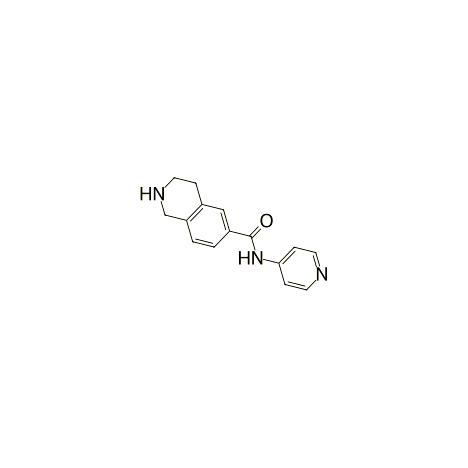 O=C(Nc1ccncc1)c1ccc2c(c1)CCNC2